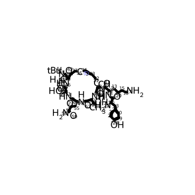 C[C@@H](O)[C@@H]1NC(=O)[C@@](C)(NC(=O)[C@H](CCCCN)NC(=O)[C@@H](N)Cc2ccc(O)cc2)CCC/C=C/CCC[C@@](C)(C(=O)NC(C)(C)C)NC(=O)[C@H](CO)NC(=O)[C@H](CCC(N)=O)NC1=O